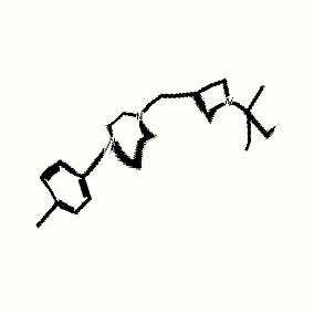 Cc1ccc(N2CCN(CC3CN(C(C)(C)C)C3)CC2)cc1